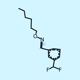 CCCCCCO/N=[C]/c1cccc(C(F)F)c1